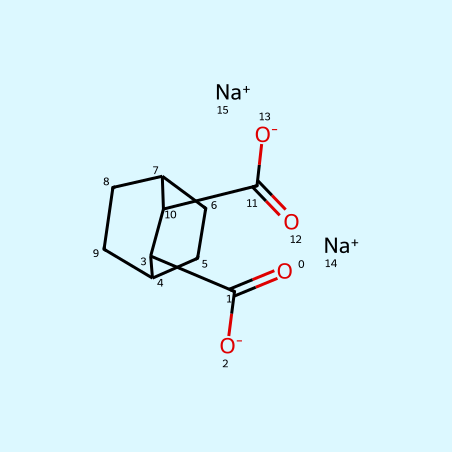 O=C([O-])C1C2CCC(CC2)C1C(=O)[O-].[Na+].[Na+]